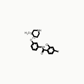 C[C@@H]1CNCC[C@@H]1Oc1cccc(NC(=O)c2ccc(F)cc2Cl)c1